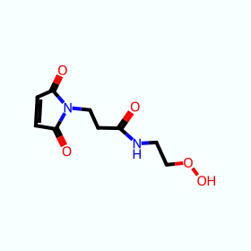 O=C(CCN1C(=O)C=CC1=O)NCCOO